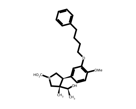 COc1ccc([C@@H]2CN(C(=O)O)C[C@@]2(C)[C@H](C)O)cc1OCCCCc1ccccc1